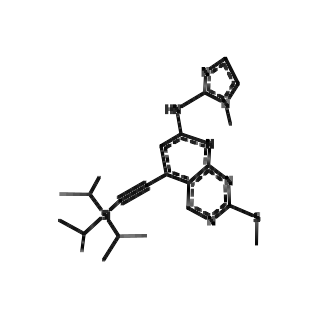 CSc1ncc2c(C#C[Si](C(C)C)(C(C)C)C(C)C)cc(Nc3nccn3C)nc2n1